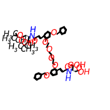 CC(C)(C)OC(=O)C[C@H](NC(=O)/C=C/c1ccc(OCc2ccccc2)cc1OCCOCCOCCOc1cc(OCc2ccccc2)ccc1/C=C/C(=O)N[C@@H](CC(=O)O)C(=O)O)C(=O)OC(C)(C)C